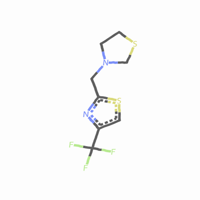 FC(F)(F)c1csc(CN2CCSC2)n1